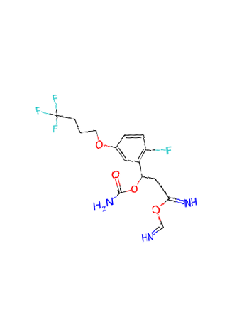 N=COC(=N)CC(OC(N)=O)c1cc(OCCCC(F)(F)F)ccc1F